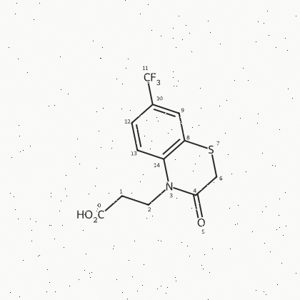 O=C(O)CCN1C(=O)CSc2cc(C(F)(F)F)ccc21